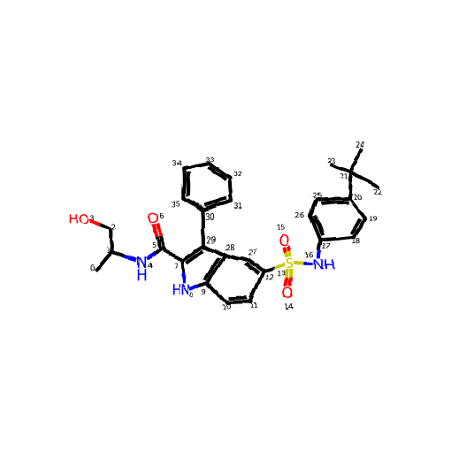 CC(CO)NC(=O)c1[nH]c2ccc(S(=O)(=O)Nc3ccc(C(C)(C)C)cc3)cc2c1-c1ccccc1